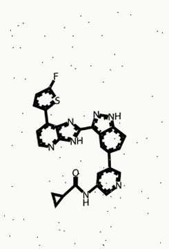 O=C(Nc1cncc(-c2ccc3[nH]nc(-c4nc5c(-c6ccc(F)s6)ccnc5[nH]4)c3c2)c1)C1CC1